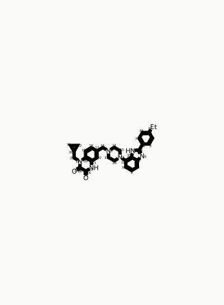 CCc1ccc(-c2nc3cccc(N4CCN(Cc5ccc6c(c5)[nH]c(=O)c(=O)n6CC5CC5)CC4)c3[nH]2)cc1